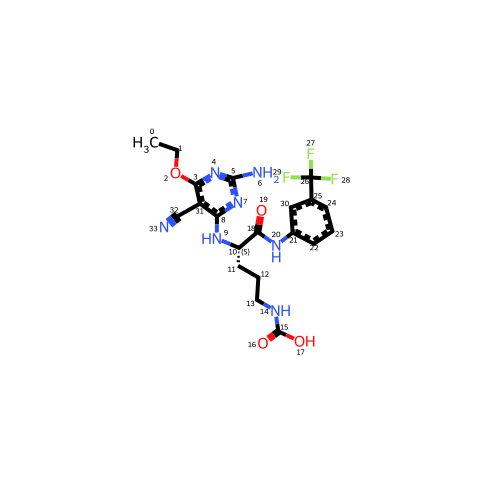 CCOc1nc(N)nc(N[C@@H](CCCNC(=O)O)C(=O)Nc2cccc(C(F)(F)F)c2)c1C#N